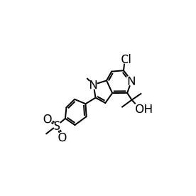 Cn1c(-c2ccc(S(C)(=O)=O)cc2)cc2c(C(C)(C)O)nc(Cl)cc21